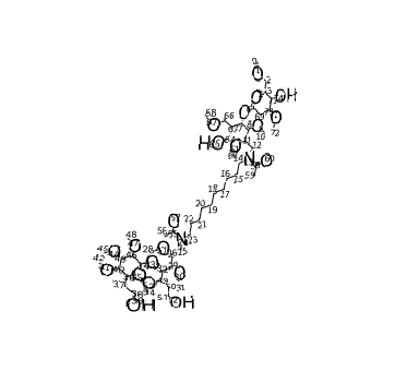 COCC1O[C@@H](O[C@H](C(OC)C(CN(CCCCCCCCCCN(C[C@@H](OC)[C@H](OC)C(O[C@H]2OC(CCO)[C@@H](OC)[C@@H](OC)C2OC)C(CCO)OC)C(C)=O)C(C)=O)OC)[C@H](CO)COC)CC(OC)[C@H]1O